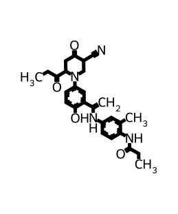 C=C(Nc1ccc(NC(=O)CC)c(C)c1)c1cc(N2CC(C#N)C(=O)CC2C(=O)CC)ccc1O